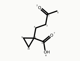 CC(=O)CCC1(C(=O)O)CC1